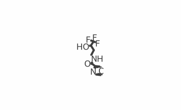 O=C(NCCC(O)C(F)(F)F)c1ccccn1